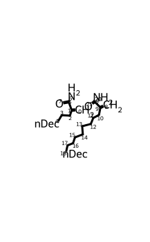 C=C(CCCCCCCCCCCC)C(N)=O.C=C(CCCCCCCCCCCCCCCCCC)C(N)=O